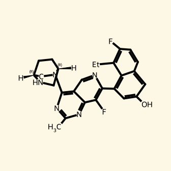 CCc1c(F)ccc2cc(O)cc(-c3ncc4c(N5C[C@H]6CC[C@@H]5CN6)nc(C)nc4c3F)c12